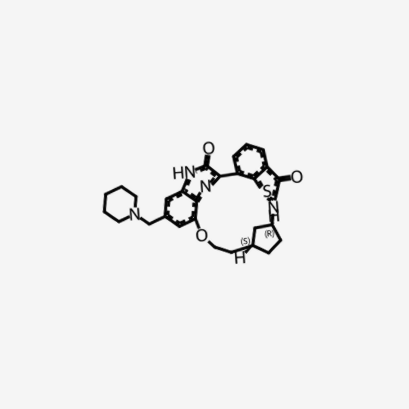 O=c1[nH]c2cc(CN3CCCCC3)cc3c2nc1-c1cccc2c(=O)n(sc12)[C@@H]1CC[C@H](CCO3)C1